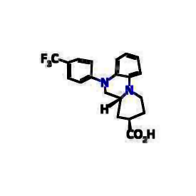 O=C(O)[C@@H]1CCN2c3ccccc3N(c3ccc(C(F)(F)F)cc3)C[C@H]2C1